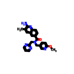 COc1ccc(CN(Cc2ncccn2)C(=O)c2ccc3nc(N)c(C)cc3c2)cn1